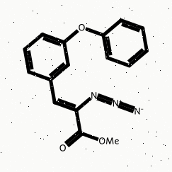 COC(=O)/C(=C/c1cccc(Oc2ccccc2)c1)N=[N+]=[N-]